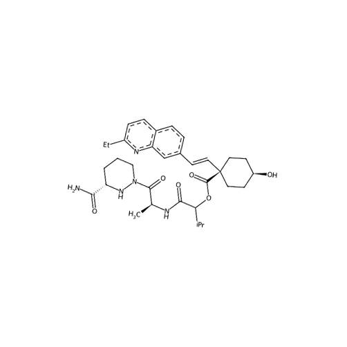 CCc1ccc2ccc(/C=C/[C@]3(C(=O)OC(C(=O)N[C@@H](C)C(=O)N4CCC[C@@H](C(N)=O)N4)C(C)C)CC[C@@H](O)CC3)cc2n1